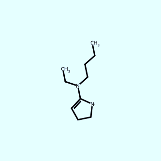 CCCCN(CC)C1=CCC[N]1